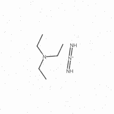 CCN(CC)CC.N=[N+]=N